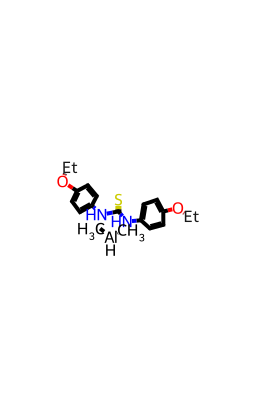 CCOc1ccc(NC(=S)Nc2ccc(OCC)cc2)cc1.[CH3][AlH][CH3]